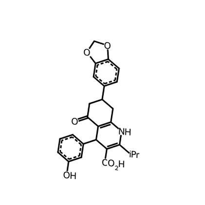 CC(C)C1=C(C(=O)O)C(c2cccc(O)c2)C2=C(CC(c3ccc4c(c3)OCO4)CC2=O)N1